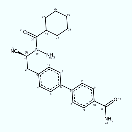 N#C[C@H](Cc1ccc(-c2ccc(C(N)=O)cc2)cc1)N(N)C(=O)C1CCCCC1